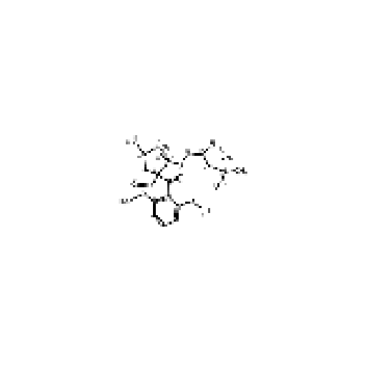 COc1cccc(OC)c1C(=O)C(CC(C)C)(P=O)C(=O)OCC(C)CC(C)(C)C